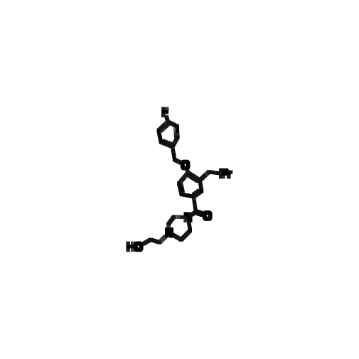 CC(C)Cc1cc(C(=O)N2CCN(CCO)CC2)ccc1OCc1ccc(F)cc1